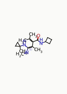 C=N/C(NC1(C)CC1)=C(\C)C(C(=O)NC1CCC1)=C(C)C